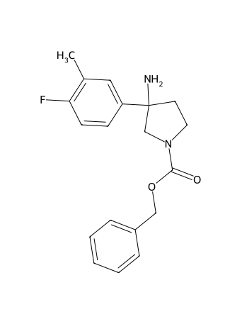 Cc1cc(C2(N)CCN(C(=O)OCc3ccccc3)C2)ccc1F